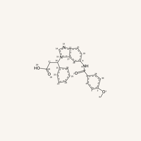 COc1ccc(C(=O)Nc2ccc3ncn(C(CC(=O)O)c4ccccc4)c3c2)cc1